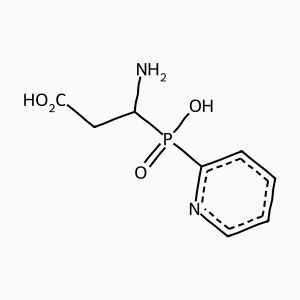 NC(CC(=O)O)P(=O)(O)c1ccccn1